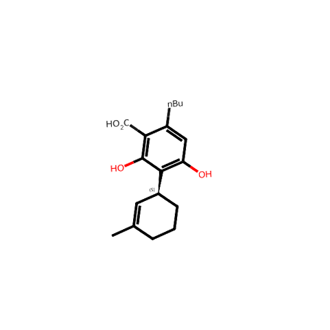 CCCCc1cc(O)c([C@@H]2C=C(C)CCC2)c(O)c1C(=O)O